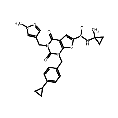 Cn1cc(Cn2c(=O)c3cc([S+]([O-])NC4(C)CC4)sc3n(Cc3ccc(C4CC4)cc3)c2=O)cn1